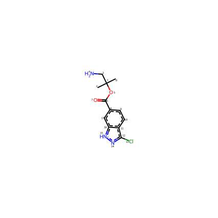 CC(C)(CN)OC(=O)c1ccc2c(Cl)n[nH]c2c1